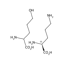 NC(CCCO)C(=O)O.NCCC[C@H](N)C(=O)O